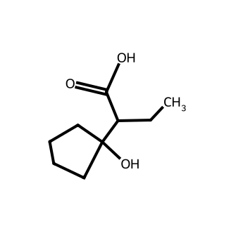 CCC(C(=O)O)C1(O)CCCC1